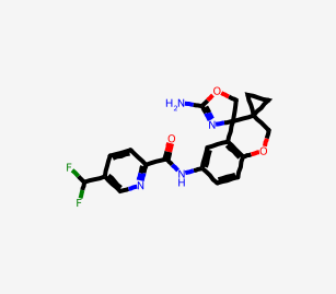 NC1=NC2(CO1)c1cc(NC(=O)c3ccc(C(F)F)cn3)ccc1OCC21CC1